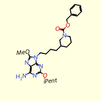 CCC[C@H](C)Oc1nc(N)c2nc(OC)n(CCCCC3CCCN(C(=O)OCc4ccccc4)C3)c2n1